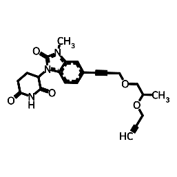 C#CCOC(C)COCC#Cc1ccc2c(c1)n(C)c(=O)n2C1CCC(=O)NC1=O